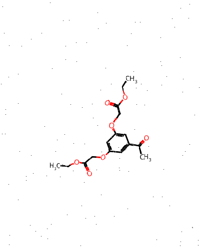 CCOC(=O)COc1cc(OCC(=O)OCC)cc(C(C)=O)c1